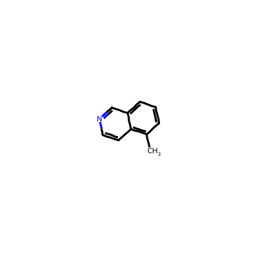 Cc1cccc2[c]nccc12